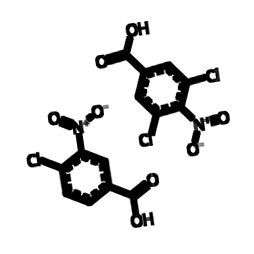 O=C(O)c1cc(Cl)c([N+](=O)[O-])c(Cl)c1.O=C(O)c1ccc(Cl)c([N+](=O)[O-])c1